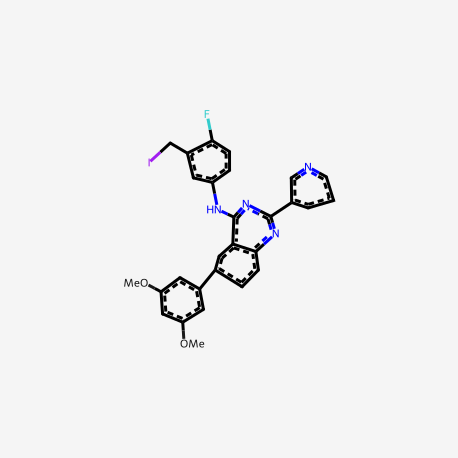 COc1cc(OC)cc(-c2ccc3nc(-c4cccnc4)nc(Nc4ccc(F)c(CI)c4)c3c2)c1